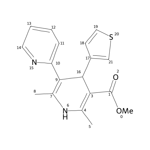 COC(=O)C1=C(C)NC(C)=C(c2ccccn2)C1c1ccsc1